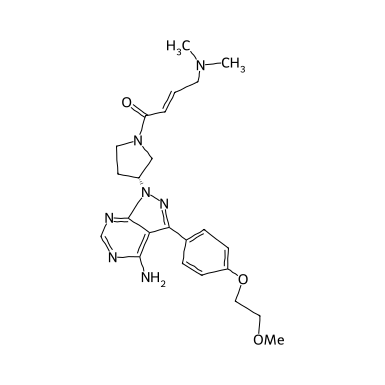 COCCOc1ccc(-c2nn([C@@H]3CCN(C(=O)C=CCN(C)C)C3)c3ncnc(N)c23)cc1